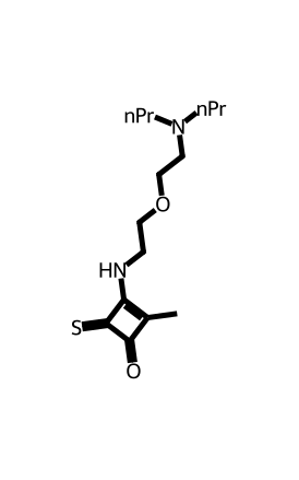 CCCN(CCC)CCOCCNc1c(C)c(=O)c1=S